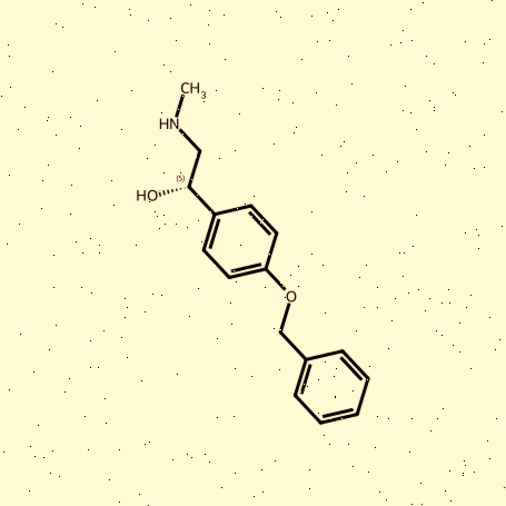 CNC[C@@H](O)c1ccc(OCc2ccccc2)cc1